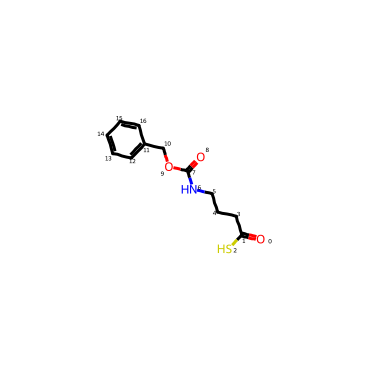 O=C(S)CCCNC(=O)OCc1ccccc1